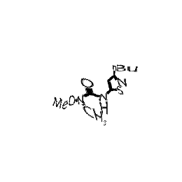 CCCCc1cc(NC(=O)N(C)OC)sn1